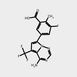 Cc1c(F)cc(-c2cc(C(F)(F)F)c3c(N)ncnn23)cc1C(=O)O